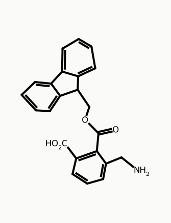 NCc1cccc(C(=O)O)c1C(=O)OCC1c2ccccc2-c2ccccc21